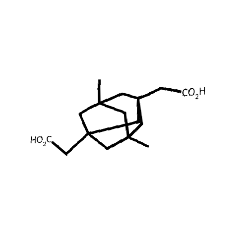 CC12CC3(C)CC(CC(=O)O)(C1)CC(CC(=O)O)(C2)C3